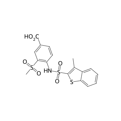 Cc1c(S(=O)(=O)Nc2ccc(C(=O)O)cc2S(C)(=O)=O)sc2ccccc12